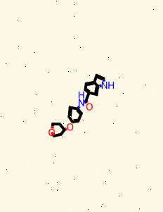 O=C(Nc1ccc(OC2CCOCC2)cc1)c1ccc2cc[nH]c2c1